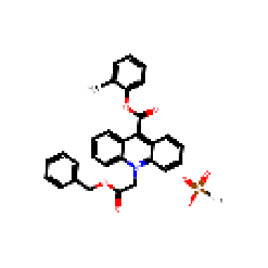 Cc1ccccc1OC(=O)c1c2ccccc2[n+](CC(=O)OCc2ccccc2)c2ccccc12.O=S(=O)([O-])C(F)(F)F